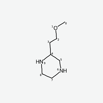 COCCC1CNCCN1